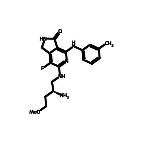 COCC[C@H](N)CNc1nc(Nc2cccc(C)c2)c2c(c1F)CNC2=O